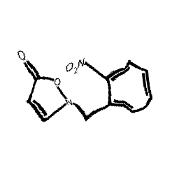 O=c1ccn(Cc2ccccc2[N+](=O)[O-])o1